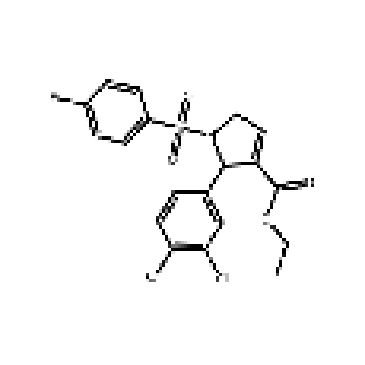 CCOC(=O)C1=CCN(S(=O)(=O)c2ccc(F)cc2)C1c1ccc(Cl)c(Cl)c1